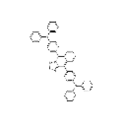 c1ccc(N(c2ccccc2)c2ccc(-c3c4ccccc4c(-c4ccc(N(c5ccccc5)c5ccccc5)cc4)c4nsnc34)cc2)cc1